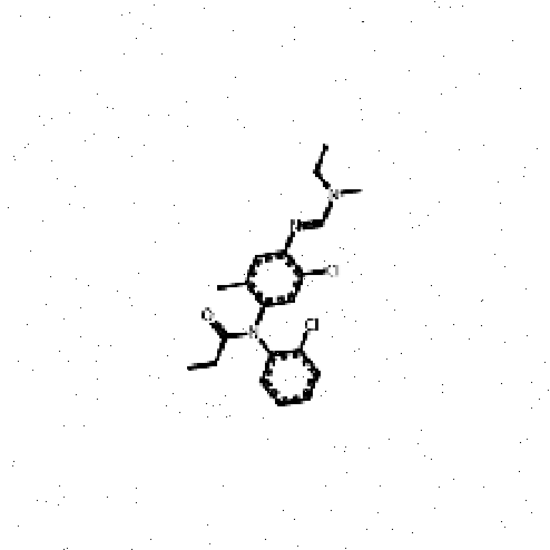 CCC(=O)N(c1cc(Cl)c(N=CN(C)CC)cc1C)c1ccccc1Cl